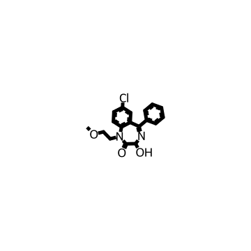 COCCN1C(=O)C(O)N=C(c2ccccc2)c2cc(Cl)ccc21